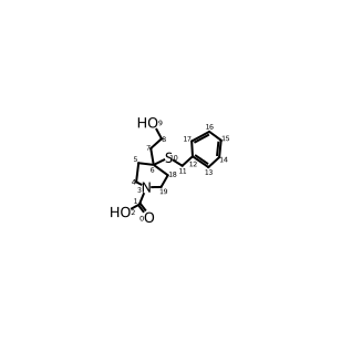 O=C(O)N1CCC(CCO)(SCc2ccccc2)CC1